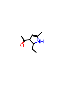 CCC1NC(C)=CC1C(C)=O